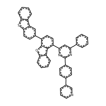 c1ccc(-c2cc(-c3ccc(-c4ccc5sc6ccccc6c5c4)c4oc5ccccc5c34)nc(-c3ccc(-c4cccnc4)cc3)n2)cc1